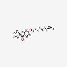 CCCCCCCCOc1ccc(C(=O)c2ccccc2)cc1